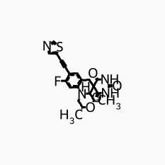 C[C@@H]1CN2c3cc(F)c(C#Cc4cncs4)cc3CC3(C(=O)NC(=O)NC3=O)[C@H]2[C@H](C)O1